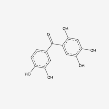 O=C(c1ccc(O)c(O)c1)c1cc(O)c(O)cc1O